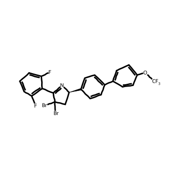 Fc1cccc(F)c1C1=N[C@@H](c2ccc(-c3ccc(OC(F)(F)F)cc3)cc2)CC1(Br)Br